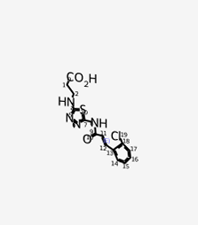 O=C(O)CCNc1nnc(NC(=O)/C=C/c2ccccc2Cl)s1